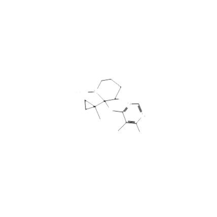 Cc1c(Cl)ncnc1OC1(C2(C)CC2)C(F)CCCN1C(=O)O